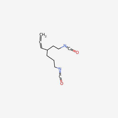 C=C=CC(CCCN=C=O)CCN=C=O